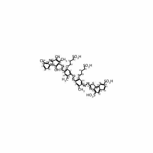 Cc1cc(N=Nc2cc(OCCCS(=O)(=O)O)c(N=Nc3c(C)c(C#N)c4nc5c(Cl)cccc5n4c3O)cc2C)c(SCCCS(=O)(=O)O)cc1N=Nc1nc2c(S(=O)(=O)O)cc3ccc(S(=O)(=O)O)cc3c2s1